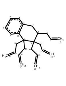 C=CCC1Cc2ccccc2C(CC=C)(CC=C)C1(CC=C)CC=C